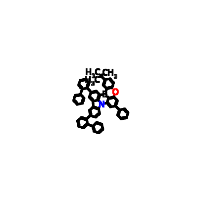 CC(C)(C)c1ccc2c(c1)B1c3c(cc(-c4ccccc4)cc3-n3c4ccc(-c5ccccc5-c5ccccc5)cc4c4cc(-c5ccccc5-c5ccccc5)cc1c43)O2